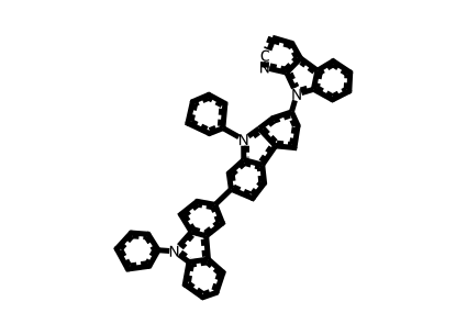 c1ccc(-n2c3ccccc3c3cc(-c4ccc5c6ccc(-n7c8ccccc8c8cccnc87)cc6n(-c6ccccc6)c5c4)ccc32)cc1